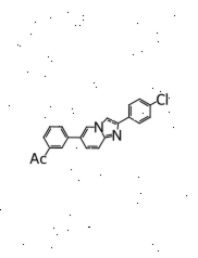 CC(=O)c1cccc(-c2ccc3nc(-c4ccc(Cl)cc4)cn3c2)c1